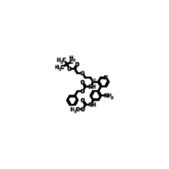 COC(=O)Nc1ccc(-c2ccncc2[C@H](CCOCC(=O)OC(C)(C)C)NC(=O)OCc2ccccc2)c(N)c1